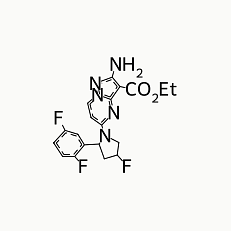 CCOC(=O)c1c(N)nn2ccc(N3CC(F)CC3c3cc(F)ccc3F)nc12